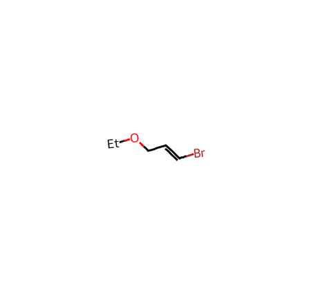 [CH2]COCC=CBr